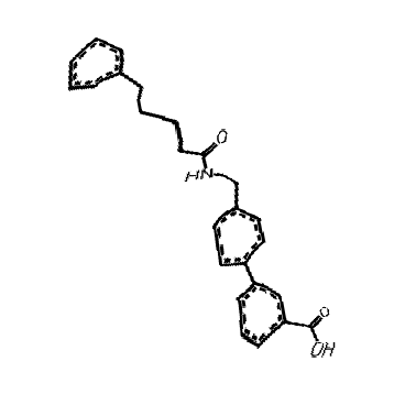 O=C(CCCCc1ccccc1)NCc1ccc(-c2cccc(C(=O)O)c2)cc1